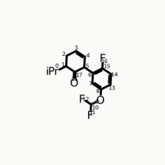 CC(C)C1CC=CC(c2cc(OC(F)F)ccc2F)C1=O